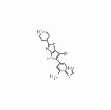 Cc1cc(-c2[nH]c3nc(C4CCNCC4)sc3c2C(C)C)cn2ncnc12